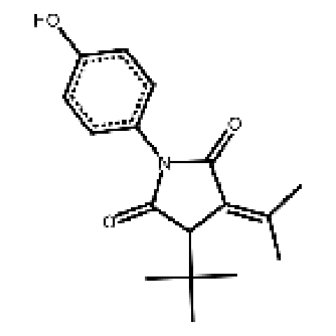 CC(C)=C1C(=O)N(c2ccc(O)cc2)C(=O)C1C(C)(C)C